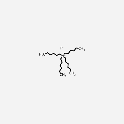 CCCCCC[N+](CCCCCC)(CCCCCC)CCCCCC.[F-]